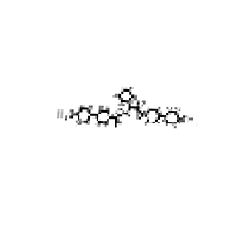 CC1CCC(C2CCC(OC(=O)C(COC(=O)C3CCC(C4CCC(C)CC4)CC3)C3CCCCC3)CC2)CC1